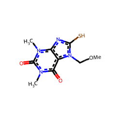 COCn1c(S)nc2c1c(=O)n(C)c(=O)n2C